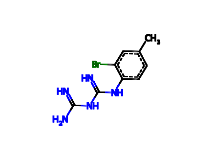 Cc1ccc(NC(=N)NC(=N)N)c(Br)c1